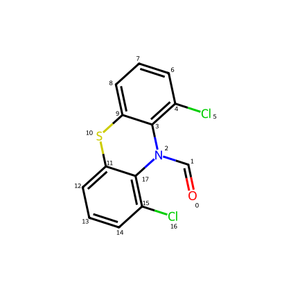 O=CN1c2c(Cl)cccc2Sc2cccc(Cl)c21